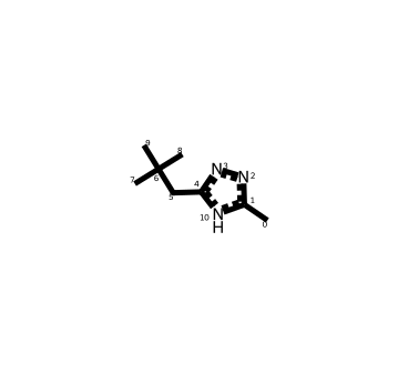 Cc1nnc(CC(C)(C)C)[nH]1